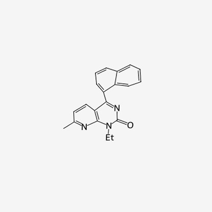 CCn1c(=O)nc(-c2cccc3ccccc23)c2ccc(C)nc21